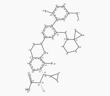 COc1cc(-c2ccc(C3CCc4ccc([C@H](C5CC5)[C@H](C)C(=O)O)c(F)c4O3)cc2CN2CCCCC23CC3)c(F)cn1